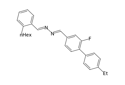 CCCCCCc1ccccc1C=NN=Cc1ccc(-c2ccc(CC)cc2)c(F)c1